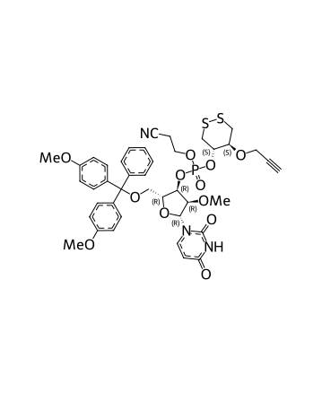 C#CCO[C@@H]1CSSC[C@H]1OP(=O)(OCCC#N)O[C@H]1[C@@H](OC)[C@H](n2ccc(=O)[nH]c2=O)O[C@@H]1COC(c1ccccc1)(c1ccc(OC)cc1)c1ccc(OC)cc1